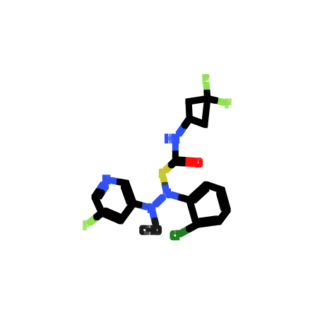 O=CN(c1cncc(F)c1)N(SC(=O)NC1CC(F)(F)C1)c1ccccc1Cl